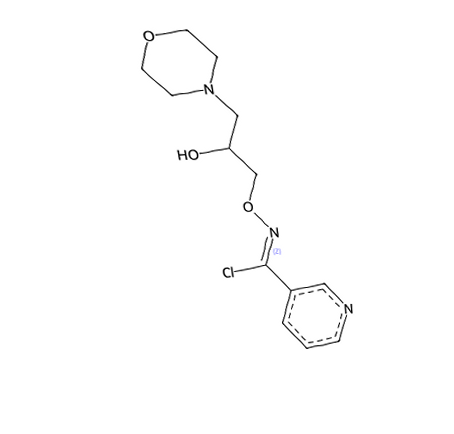 OC(CO/N=C(\Cl)c1cccnc1)CN1CCOCC1